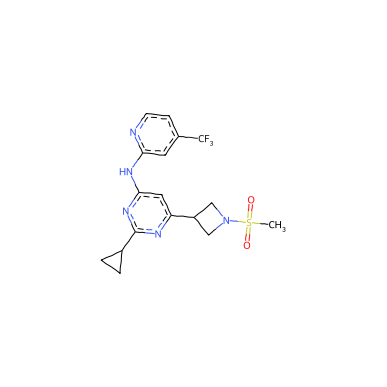 CS(=O)(=O)N1CC(c2cc(Nc3cc(C(F)(F)F)ccn3)nc(C3CC3)n2)C1